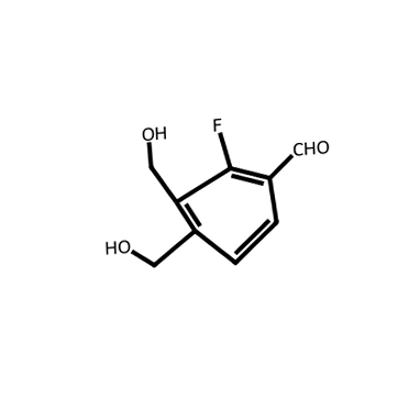 O=Cc1ccc(CO)c(CO)c1F